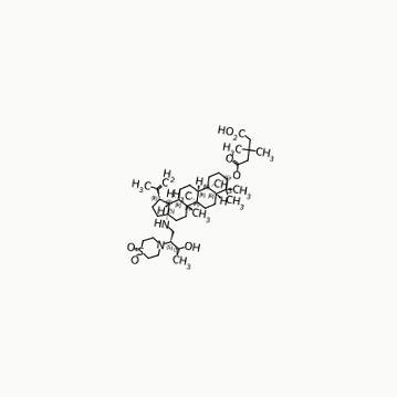 C=C(C)[C@@H]1CC[C@]2(NC[C@@H]([C@H](C)O)N3CCS(=O)(=O)CC3)CC[C@]3(C)[C@H](CC[C@@H]4[C@@]5(C)CC[C@H](OC(=O)CC(C)(C)CC(=O)O)C(C)(C)[C@@H]5CC[C@]43C)[C@@H]12